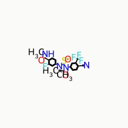 CNC(=O)c1ccc(N2C([S+]=O)N(c3ccc(C#N)c(C(F)(F)F)c3)C(=O)C2(C)C)cc1F